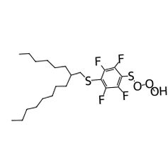 CCCCCCCCC(CCCCCC)CSc1c(F)c(F)c(SOOO)c(F)c1F